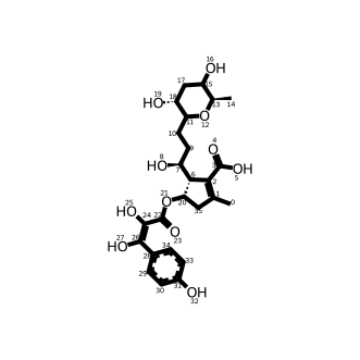 CC1=C(C(=O)O)[C@@H]([C@@H](O)CCC2O[C@H](C)C(O)C[C@H]2O)C(OC(=O)/C(O)=C(/O)c2ccc(O)cc2)C1